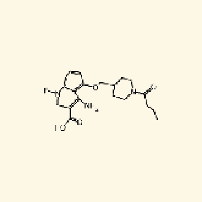 CCCC(=O)N1CCC(COc2cccc3c2C(N)=C(C(=O)O)CN3F)CC1